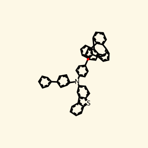 c1ccc(-c2ccc(N(c3ccc(-c4ccc5c(c4)-c4c6cccc4-c4cccc-5c4-c4ccccc4-6)cc3)c3ccc4sc5ccccc5c4c3)cc2)cc1